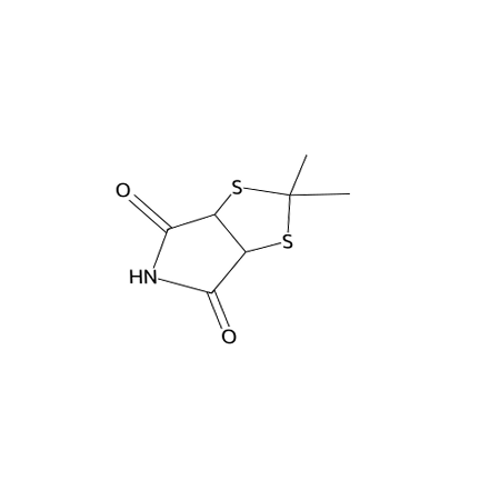 CC1(C)SC2C(=O)NC(=O)C2S1